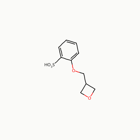 O=S(=O)(O)c1ccccc1OCC1COC1